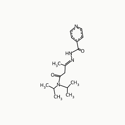 C/C(CC(=O)N(C(C)C)C(C)C)=N\NC(=O)c1ccncc1